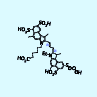 CCN1/C(=C\C=C\c2c(C)c3c4cc(S(=O)(=O)O)cc(S(=O)(=O)O)c4c(C)cc3n2CCCCCC(=O)O)C(C)c2c1cc(C)c1c(S(=O)(=O)O)cc(SOOO)cc21